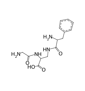 NCC(=O)NC(CNC(=O)C(N)Cc1ccccc1)C(=O)O